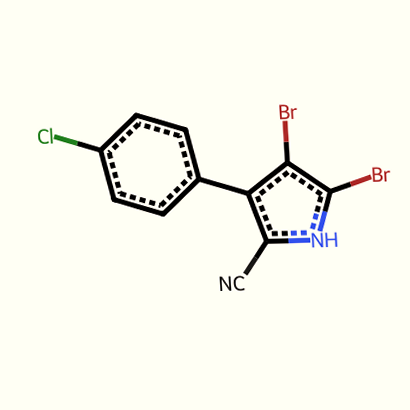 N#Cc1[nH]c(Br)c(Br)c1-c1ccc(Cl)cc1